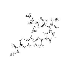 CC(C)(C)OC(=O)N1CCC(Oc2cccc(-c3nccc(N(C(=O)OC(C)(C)C)c4ccc5c(c4)c(C(C)(C)C)nn5C(=O)O)n3)c2)CC1